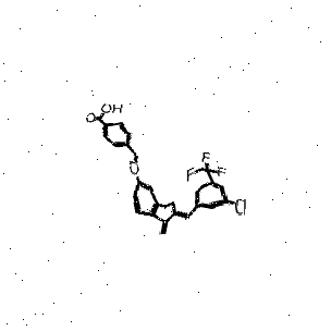 C=C1/C(=C/c2cc(Cl)cc(C(F)(F)F)c2)Cc2cc(OCc3ccc(C(=O)O)cc3)ccc21